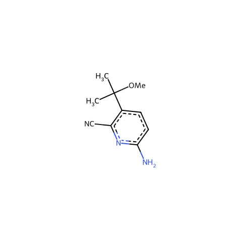 COC(C)(C)c1ccc(N)nc1C#N